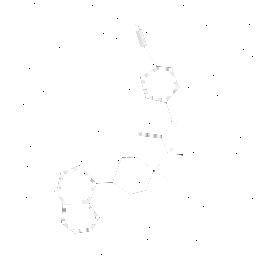 C[C@H](C(=O)Nc1ccc(C#N)cc1)C1(O)CCC(c2ccnc3ccccc23)CC1